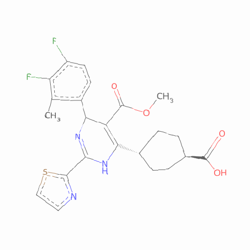 COC(=O)C1=C([C@H]2CC[C@H](C(=O)O)CC2)NC(c2nccs2)=NC1c1ccc(F)c(F)c1C